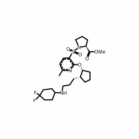 COC(=O)[C@@H]1CCCN1S(=O)(=O)c1ccc(C)nc1O[C@@H]1CCC[C@@H]1CCCNC1CCC(F)(F)CC1